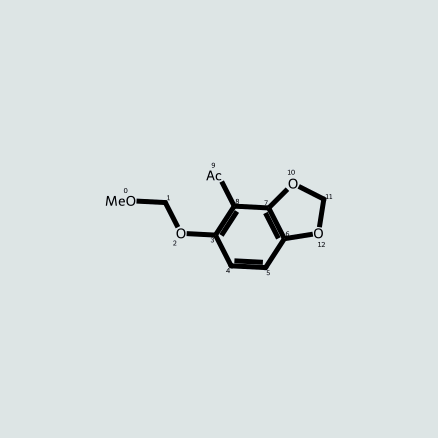 COCOc1ccc2c(c1C(C)=O)OCO2